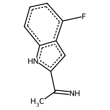 CC(=N)c1cc2c(F)cccc2[nH]1